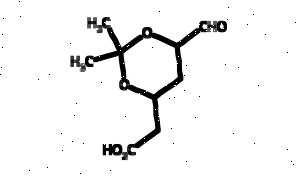 CC1(C)OC(C=O)CC(CC(=O)O)O1